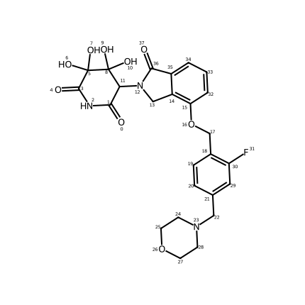 O=C1NC(=O)C(O)(O)C(O)(O)C1N1Cc2c(OCc3ccc(CN4CCOCC4)cc3F)cccc2C1=O